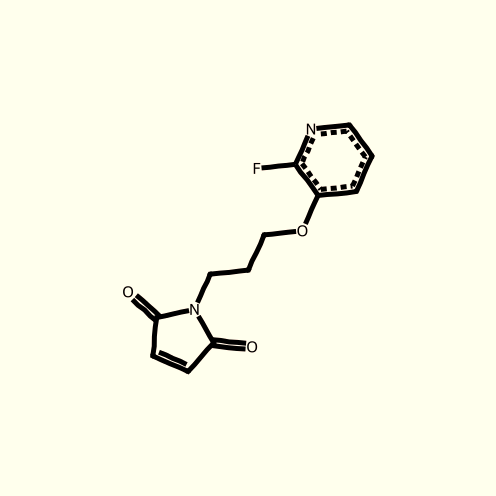 O=C1C=CC(=O)N1CCCOc1cccnc1F